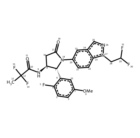 COc1ccc(F)c([C@@H]2[C@@H](NC(=O)C(C)(F)F)CC(=O)N2c2ccc3c(cnn3CC(F)F)c2)c1